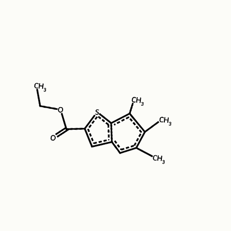 CCOC(=O)c1cc2cc(C)c(C)c(C)c2s1